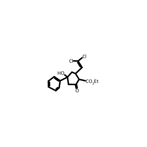 CCOC(=O)C1C(=O)CC(O)(c2ccccc2)CC1C=C(Cl)Cl